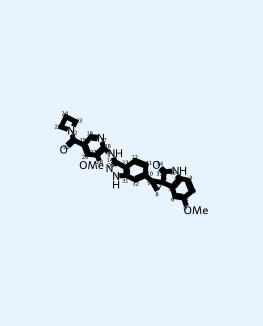 COc1ccc2c(c1)[C@]1(CC1c1ccc3c(Nc4ncc(C(=O)N5CCC5)cc4OC)n[nH]c3c1)C(=O)N2